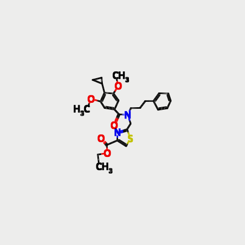 CCOC(=O)c1csc(CN(CCCc2ccccc2)C(=O)c2cc(OC)c(C3CC3)c(OC)c2)n1